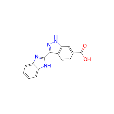 O=C(O)c1ccc2c(-c3nc4ccccc4[nH]3)n[nH]c2c1